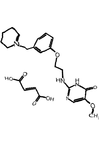 COc1cnc(NCCOc2cccc(CN3CCCCC3)c2)[nH]c1=O.O=C(O)C=CC(=O)O